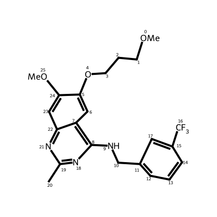 COCCCOc1cc2c(NCc3cccc(C(F)(F)F)c3)nc(C)nc2cc1OC